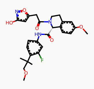 COCC(C)(C)c1ccc(NC(=O)[C@H]2c3ccc(OC)cc3CCN2C(=O)Cc2cc(O)no2)cc1F